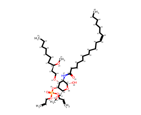 C=CCOP(=O)(OCC=C)O[C@H]1[C@H](OCC[C@@H](CCCCCCC)OC)[C@@H](NC(=O)CCCCCCCCC/C=C\CCCCCC)[C@H](O)O[C@@H]1COC